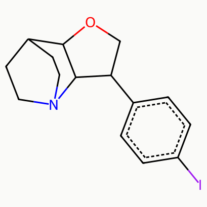 Ic1ccc(C2COC3C4CCN(CC4)C23)cc1